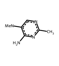 CNc1cnc(C)nc1N